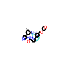 C[C@@H]1C[C@@H](N)C[C@H](c2ccncc2NC(=O)c2ccc(F)c(-c3c(F)cc(COC4CCOCC4)cc3F)n2)C1